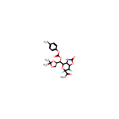 COC(=O)C1(F)OC([C@H](OC(=O)Oc2ccc([N+](=O)[O-])cc2)[C@H]2COC(C)(C)O2)C2NC(=O)OC2C1F